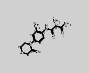 NC(=O)[C@@H](N)C(=O)Nc1ccc(N2CCOCC2=O)cc1C(F)(F)F